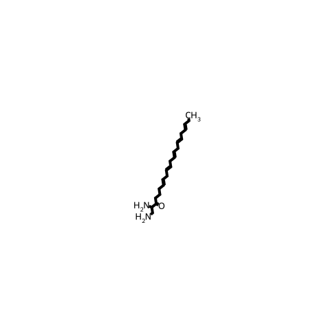 CCC=CCC=CCC=CCC=CCC=CCCCC(=O)C(N)CN